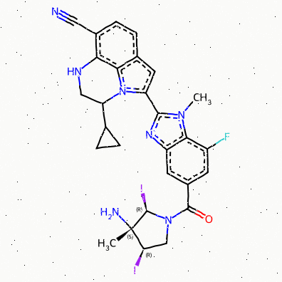 Cn1c(-c2cc3ccc(C#N)c4c3n2C(C2CC2)CN4)nc2cc(C(=O)N3C[C@@H](I)[C@](C)(N)[C@H]3I)cc(F)c21